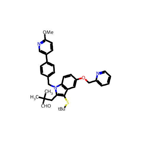 COc1ccc(-c2ccc(Cn3c(CC(C)(C)C=O)c(SC(C)(C)C)c4cc(OCc5ccccn5)ccc43)cc2)cn1